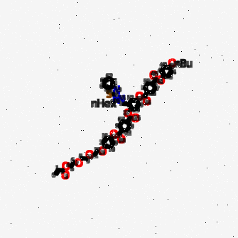 C=CC(=O)OCCOCCOCCOc1ccc(OC(=O)C2CCC(C(=O)Oc3ccc(OC(=O)C4CCC(C(=O)Oc5ccc(OCCCC)cc5)CC4)cc3/C=N/N(CCCCCC)c3nc4ccccc4s3)CC2)cc1